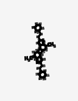 Cc1cc2c(c3cc(CCc4ccccc4)sc13)-c1cc(C)c3sc(CCc4ccccc4)cc3c1-2